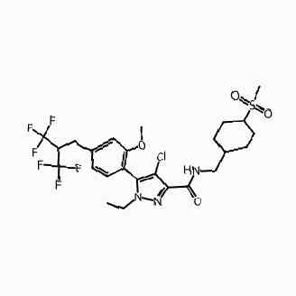 CCn1nc(C(=O)NCC2CCC(S(C)(=O)=O)CC2)c(Cl)c1-c1ccc(CC(C(F)(F)F)C(F)(F)F)cc1OC